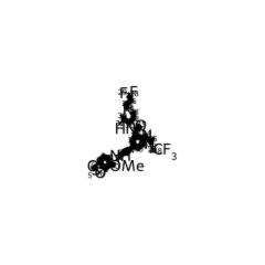 COc1cc(S(C)(=O)=O)ccc1NCC#Cc1cc(C(=O)N[C@H]2CCN(CCC(F)F)C[C@@H]2C)c2ncn(CC(F)(F)F)c2c1